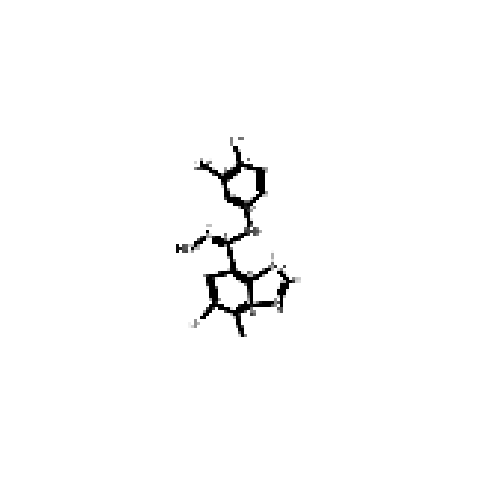 Cc1c(F)cc(/C(=N\O)Nc2ccc(F)c(Cl)c2)c2[nH]cnc12